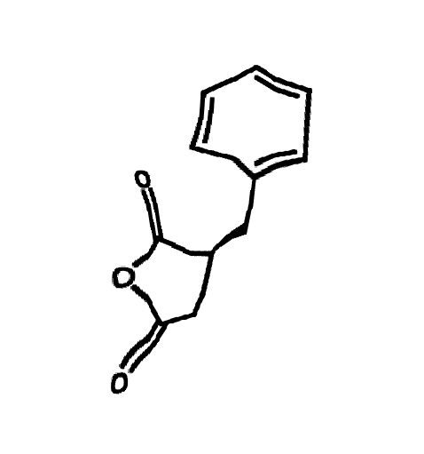 O=C1C[C@H](Cc2ccccc2)C(=O)O1